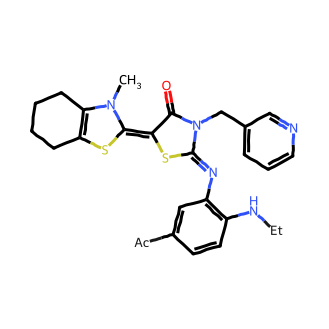 CCNc1ccc(C(C)=O)cc1N=C1SC(=C2SC3=C(CCCC3)N2C)C(=O)N1Cc1cccnc1